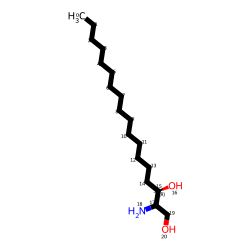 CCCCCCCCCCCCCCC[C@@H](O)C(N)CO